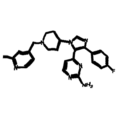 Cc1cc(CN2CCC(n3cnc(-c4ccc(F)cc4)c3-c3ccnc(N)n3)CC2)ccn1